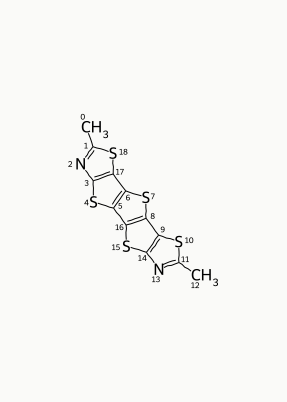 Cc1nc2sc3c(sc4c5sc(C)nc5sc43)c2s1